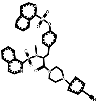 CN(C(Cc1ccc(OS(=O)(=O)c2nccc3ccccc23)cc1)C(=O)N1CCN(c2ccc(C#N)cc2)CC1)S(=O)(=O)c1nccc2ccccc12